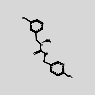 Nc1ccc(CNC(=O)[C@@H](N)Cc2cccc(Cl)c2)cn1